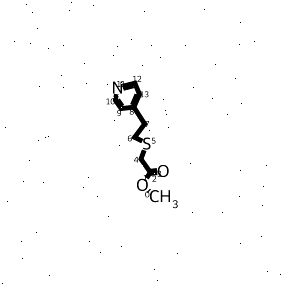 COC(=O)CSCCc1ccncc1